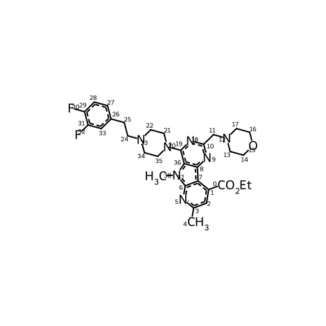 CCOC(=O)c1cc(C)nc2c1c1nc(CN3CCOCC3)nc(N3CCN(CCc4ccc(F)c(F)c4)CC3)c1n2C